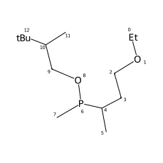 CCOCCC(C)P(C)OCC(C)C(C)(C)C